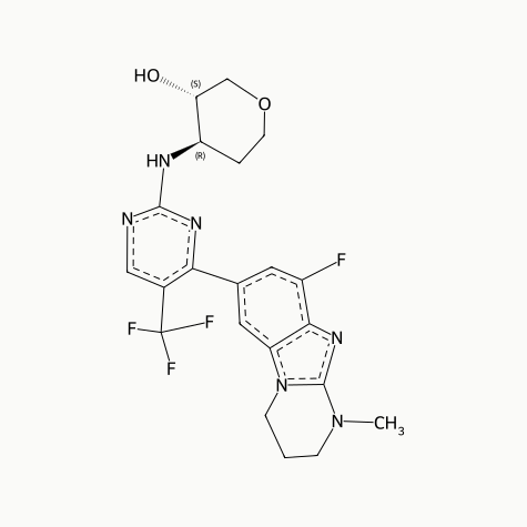 CN1CCCn2c1nc1c(F)cc(-c3nc(N[C@@H]4CCOC[C@H]4O)ncc3C(F)(F)F)cc12